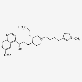 COc1ccc2nccc([C@H](O)CC[C@@H]3CCN(CCCCc4ccn(C)c4)C[C@H]3CCC(=O)O)c2c1